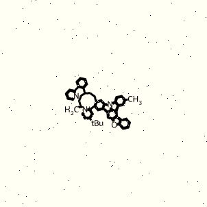 C=C1CCC(c2ccccc2-c2ccccn2)CCc2cc3c(cc2-c2cc(C(C)(C)C)cc[n+]21)c1cc2oc4ccccc4c2c2c4cc(C)ccc4n3c12